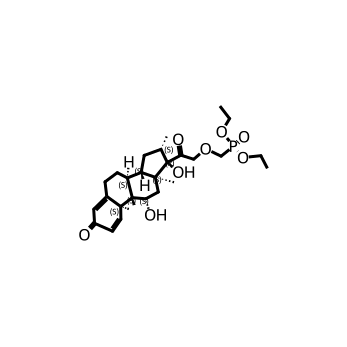 CCOP(=O)(COCC(=O)[C@@]1(O)[C@@H](C)C[C@H]2[C@@H]3CCC4=CC(=O)C=C[C@]4(C)[C@@]3(C)[C@@H](O)C[C@@]21C)OCC